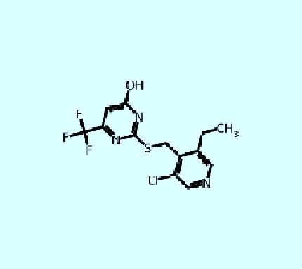 CCc1cncc(Cl)c1CSc1nc(O)cc(C(F)(F)F)n1